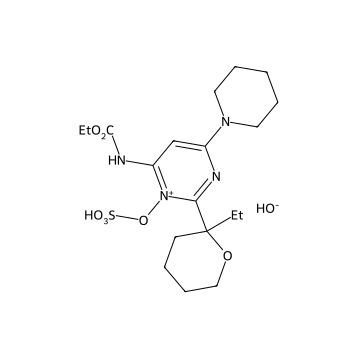 CCOC(=O)Nc1cc(N2CCCCC2)nc(C2(CC)CCCCO2)[n+]1OS(=O)(=O)O.[OH-]